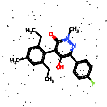 CCc1cc(C)cc(CC)c1-c1c(O)c(-c2ccc(F)cc2)nn(C)c1=O